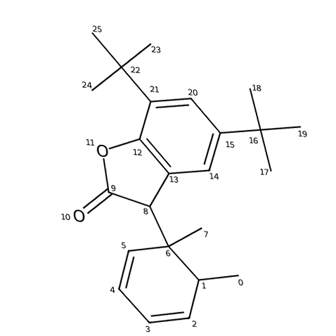 CC1C=CC=CC1(C)C1C(=O)Oc2c1cc(C(C)(C)C)cc2C(C)(C)C